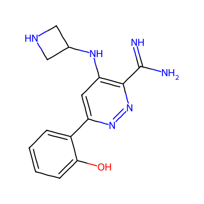 N=C(N)c1nnc(-c2ccccc2O)cc1NC1CNC1